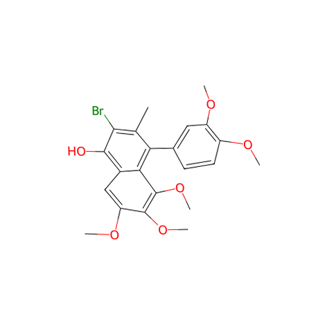 COc1ccc(-c2c(C)c(Br)c(O)c3cc(OC)c(OC)c(OC)c23)cc1OC